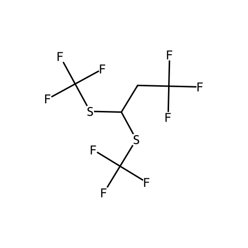 FC(F)(F)CC(SC(F)(F)F)SC(F)(F)F